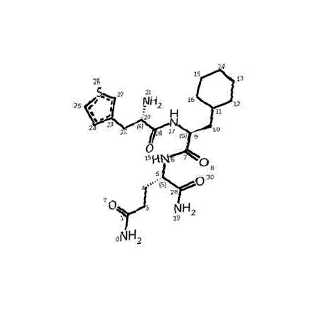 NC(=O)CC[C@H](NC(=O)[C@H](CC1CCCCC1)NC(=O)[C@@H](N)Cc1ccsc1)C(N)=O